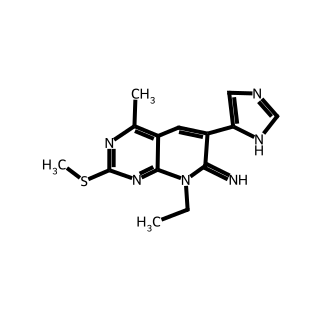 CCn1c(=N)c(-c2cnc[nH]2)cc2c(C)nc(SC)nc21